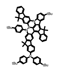 CC(C)(C)c1ccc(N2B3c4cc5c(cc4-n4c6ccc(C(C)(C)C)cc6c6c7c(c(c3c64)-c3cc4c(cc32)C(C)(C)c2cc(N(c3ccc(C(C)(C)C)cc3)c3ccc(C(C)(C)C)cc3)ccc2-4)-c2ccccc2C7(C)C)-c2ccccc2C5(C)C)cc1